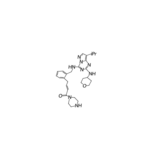 CC(C)c1cnn2c(NCc3ccccc3CC=CC(=O)N3CCNCC3)nc(NC3CCOCC3)nc12